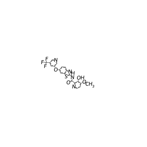 COc1ccnc(C(=O)Nc2nc3ccc(Oc4cncc(C(F)(F)F)c4)cc3s2)c1O